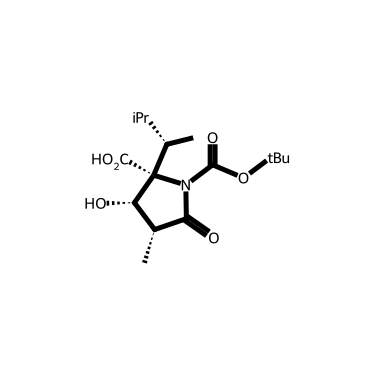 CC(C)[C@H](C)[C@]1(C(=O)O)[C@@H](O)[C@@H](C)C(=O)N1C(=O)OC(C)(C)C